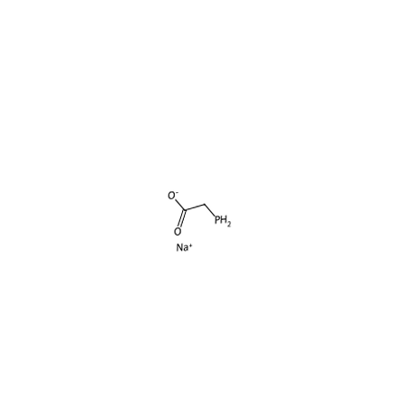 O=C([O-])CP.[Na+]